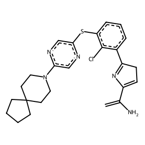 C=C(N)C1=CCC(c2cccc(Sc3cnc(N4CCC5(CCCC5)CC4)cn3)c2Cl)=N1